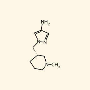 CN1CCC[C@H](Cn2cc(N)cn2)C1